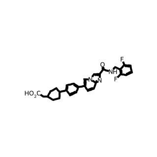 O=C(O)CC1CCC(c2ccc(-c3ccc4nc(C(=O)NCc5c(F)cccc5F)cn4c3)cc2)CC1